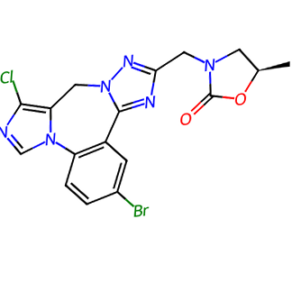 C[C@@H]1CN(Cc2nc3n(n2)Cc2c(Cl)ncn2-c2ccc(Br)cc2-3)C(=O)O1